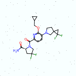 NC(=O)[C@@H]1CC(F)(F)CN1C(=O)c1ccc(N2CCC3(C2)CC3(F)F)c(OCC2CC2)n1